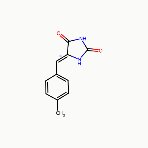 Cc1ccc(/C=C2\NC(=O)NC2=O)cc1